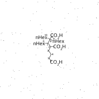 CCCCCCC(C(CCCC(=O)O)C(=O)O)C(CCCCCC)(CCCCCC)C(=O)O